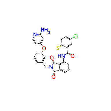 Nc1cc(Oc2cccc(CN3C(=O)c4cccc(NC(=O)C5=CC(Cl)=CCC5=S)c4C3=O)c2)ccn1